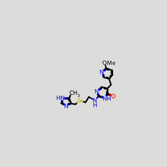 COc1ccc(Cc2cnc(NCCSCc3nc[nH]c3C)[nH]c2=O)cn1